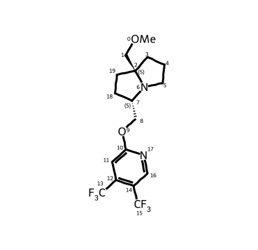 COC[C@@]12CCCN1[C@H](COc1cc(C(F)(F)F)c(C(F)(F)F)cn1)CC2